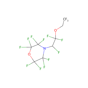 FC(N1C(F)(F)C(F)(F)OC(F)(F)C1(F)F)C(F)(F)OCC(F)(F)F